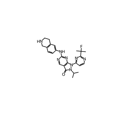 CC(C)n1c(=O)c2cnc(Nc3ccc4c(c3)CCNC4)nc2n1-c1ccnc(C(C)(C)F)n1